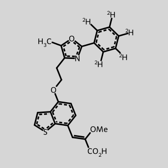 [2H]c1c([2H])c([2H])c(-c2nc(CCOc3ccc(/C=C(\OC)C(=O)O)c4sccc34)c(C)o2)c([2H])c1[2H]